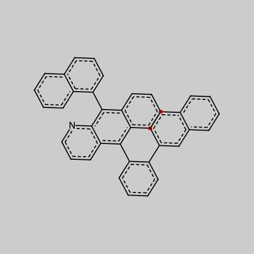 c1ccc(-c2c3ccccc3c(-c3cccc4ccccc34)c3ncccc23)c(-c2ccc3ccccc3c2)c1